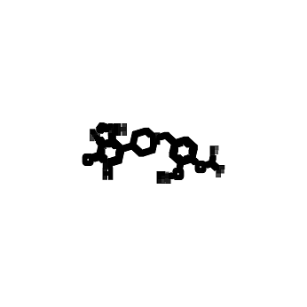 CCOc1cc(CN2CCC(c3c[nH]c(=O)c4nc[nH]c34)CC2)ccc1OC(F)F